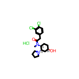 CN(C(=O)Cc1ccc(Cl)c(Cl)c1)[C@H]1CC[C@@H](O)C[C@@H]1N1CCCC1.Cl